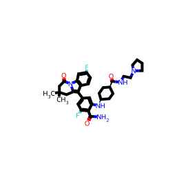 CC1(C)CC(=O)n2c(c(-c3cc(F)c(C(N)=O)c(N[C@H]4CC[C@H](C(=O)NCCN5CCCC5)CC4)c3)c3ccc(F)cc32)C1